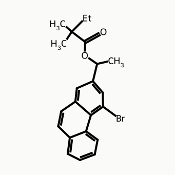 CCC(C)(C)C(=O)OC(C)c1cc(Br)c2c(ccc3ccccc32)c1